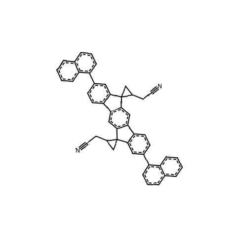 N#CCC1CC12c1cc(-c3cccc4ccccc34)ccc1-c1cc3c(cc12)-c1ccc(-c2cccc4ccccc24)cc1C31CC1CC#N